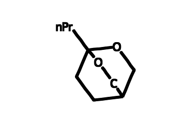 CCCC12CCC(CO1)CO2